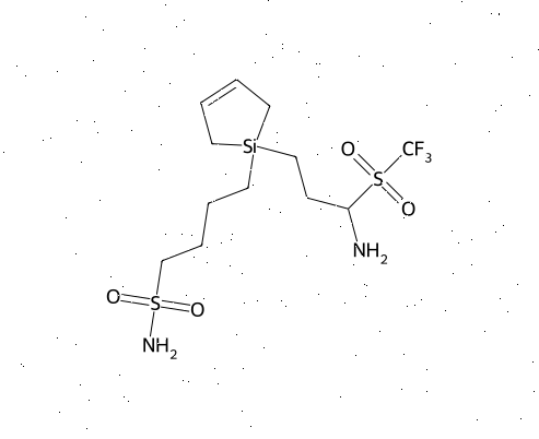 NC(CC[Si]1(CCCCS(N)(=O)=O)CC=CC1)S(=O)(=O)C(F)(F)F